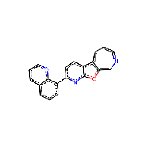 C1=CC=c2c(oc3nc(-c4cccc5cccnc45)ccc23)=CN=1